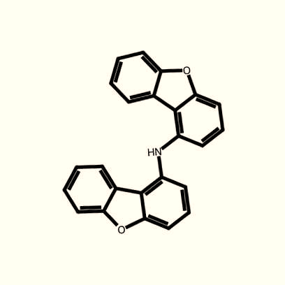 c1ccc2c(c1)oc1cccc(Nc3cccc4oc5ccccc5c34)c12